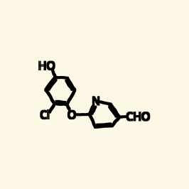 O=Cc1ccc(Oc2ccc(O)cc2Cl)nc1